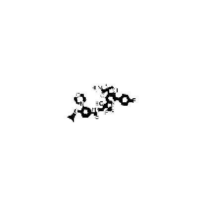 C[C@]1(C(N)=O)COc2c1cc(C(O)(CNC(=O)c1ccc(OC3CC3)c(N3CCOCC3)c1)C(F)(F)F)nc2-c1ccc(F)cc1